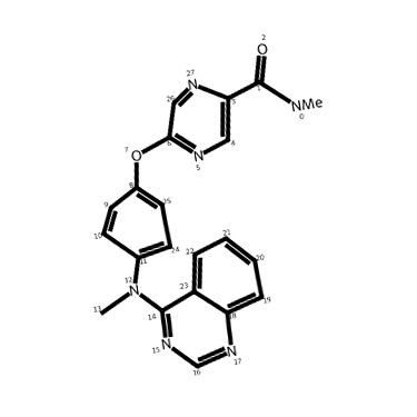 CNC(=O)c1cnc(Oc2ccc(N(C)c3ncnc4ccccc34)cc2)cn1